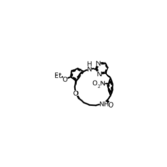 CCOc1ccc2cc1COCCCCNC(=O)c1ccc(c([N+](=O)[O-])c1)-c1ccnc(n1)N2